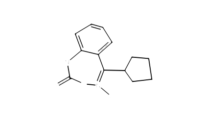 O=C1C[N+]([O-])=C(C2CCCC2)c2ccccc2N1